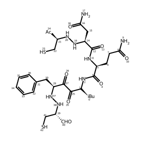 CC[C@H](C)C(NC(=O)[C@H](CCC(N)=O)NC(=O)[C@H](CC(N)=O)NN[C@@H](CS)C(C)=O)C(=O)C(=O)[C@H](Cc1ccccc1)NN[C@H](C=O)CS